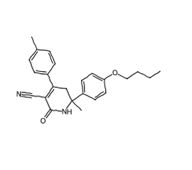 CCCCOc1ccc(C2(C)CC(c3ccc(C)cc3)=C(C#N)C(=O)N2)cc1